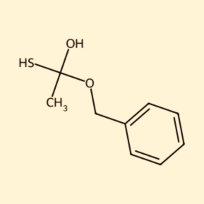 CC(O)(S)OCc1ccccc1